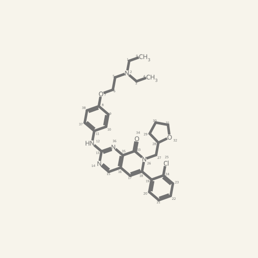 CCN(CC)CCOc1ccc(Nc2ncc3cc(-c4ccccc4Cl)n(CC4CCCO4)c(=O)c3n2)cc1